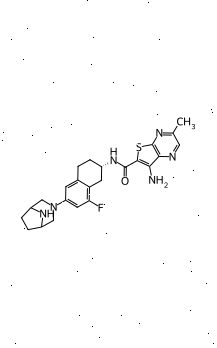 Cc1cnc2c(N)c(C(=O)N[C@H]3CCc4cc(N5CC6CCC(C5)N6)cc(F)c4C3)sc2n1